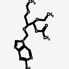 CCOCC(OCn1cnc2nc(N)ncc21)C(OCC)OC(C)=O